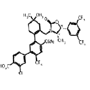 COc1cc(C(F)(F)F)c(-c2ccc(C(=O)O)c(Cl)c2)cc1C1=C(CN2C(=O)O[C@H](c3cc(C(F)(F)F)cc(C(F)(F)F)c3)[C@@H]2C)CC(C)(C)CC1